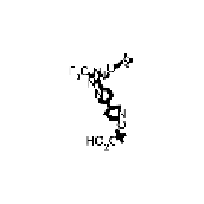 CC(C)(COc1ccc(-c2ccc(-c3nc(C(F)(F)F)nn3COCCS(C)(C)C)nc2)cn1)C(=O)O